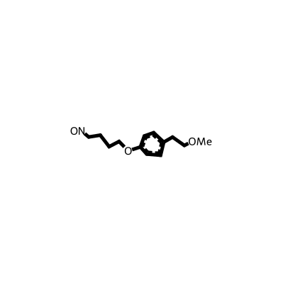 COCCc1ccc(OCCCCN=O)cc1